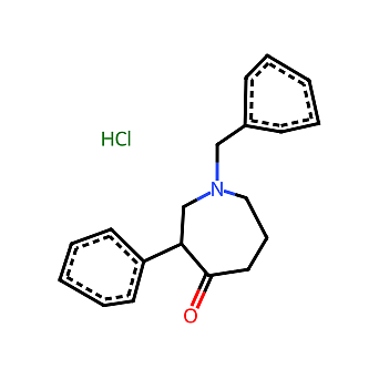 Cl.O=C1CCCN(Cc2ccccc2)CC1c1ccccc1